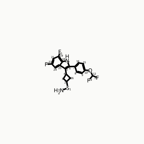 NSC1CC(c2c(-c3ccc(OC(F)F)cc3)[nH]c3c(F)cc(F)cc23)C1